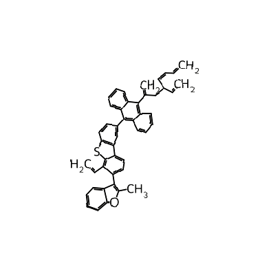 C=C/C=C\C(C=C)CC(=C)c1c2ccccc2c(-c2ccc3sc4c(C=C)c(-c5c(C)oc6ccccc56)ccc4c3c2)c2ccccc12